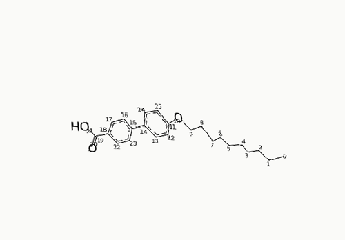 CCCCCCCCCCOc1ccc(-c2ccc(C(=O)O)cc2)cc1